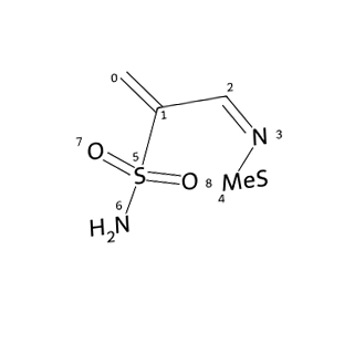 C=C(/C=N\SC)S(N)(=O)=O